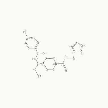 CC(C)CC(NC(=O)c1ccc(Cl)cc1)C1CCN(C(=O)OCc2nccs2)CC1